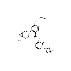 O=C(Nc1cccn(C2CC(F)(F)C2)c1=O)c1ccc(NS(=O)(=O)CCO)cc1N1CC[C@]2(CF)C[C@@H]2C1